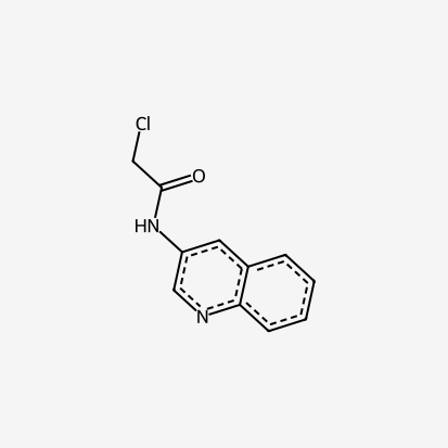 O=C(CCl)Nc1cnc2ccccc2c1